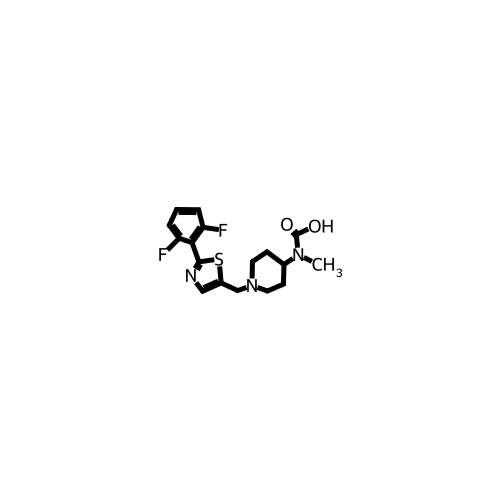 CN(C(=O)O)C1CCN(Cc2cnc(-c3c(F)cccc3F)s2)CC1